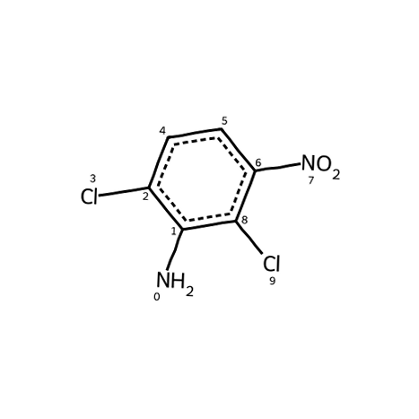 Nc1c(Cl)ccc([N+](=O)[O-])c1Cl